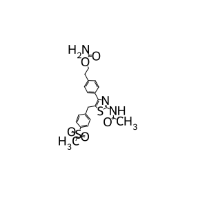 CC(=O)Nc1nc(-c2ccc(CCOC(N)=O)cc2)c(Cc2ccc(S(C)(=O)=O)cc2)s1